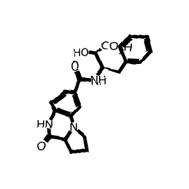 O=C(N[C@H](Cc1ccccc1)[C@@H](O)C(=O)O)c1ccc2c(c1)N1CCCC1C(=O)N2